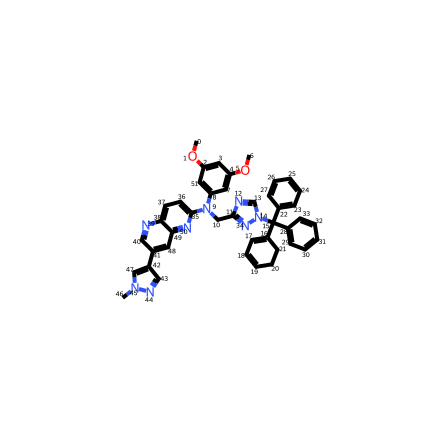 COc1cc(OC)cc(N(Cc2ncn(C(C3=CC=CCC3)(c3ccccc3)c3ccccc3)n2)c2ccc3ncc(-c4cnn(C)c4)cc3n2)c1